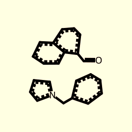 O=Cc1cccc2ccccc12.c1ccc(Cn2cccc2)cc1